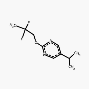 CC(C)c1cnc(OCC(C)(F)F)nc1